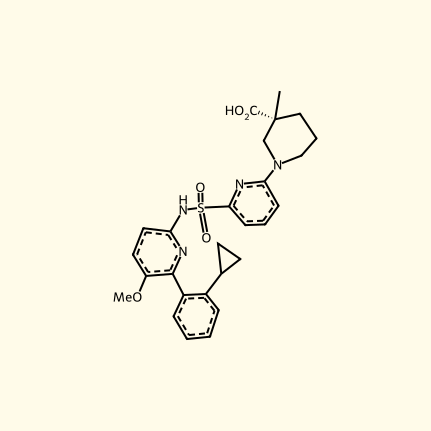 COc1ccc(NS(=O)(=O)c2cccc(N3CCC[C@@](C)(C(=O)O)C3)n2)nc1-c1ccccc1C1CC1